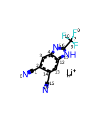 N#Cc1cc2nc(C(F)(F)F)[nH]c2cc1C#N.[Li+]